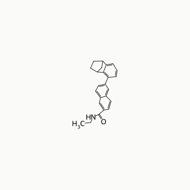 CCNC(=O)c1ccc2cc(-c3cccc4c3C3CCC4C3)ccc2c1